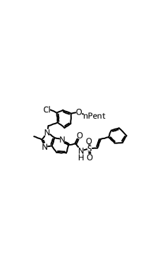 CCCCCOc1ccc(Cn2c(C)nc3ccc(C(=O)NS(=O)(=O)C=Cc4ccccc4)nc32)c(Cl)c1